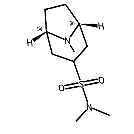 CN1[C@@H]2CC[C@H]1CC(S(=O)(=O)N(C)C)C2